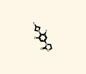 O=C1O[CH]CN1c1cc(F)c(N2CC(F)C2)c(F)c1